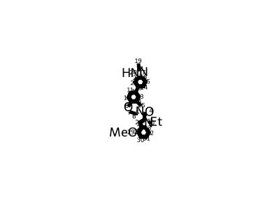 CCn1c(C(=O)N2CCOc3ccc(-c4ccc5nc(C)[nH]c5c4)cc3C2)cc2c(OC)cccc21